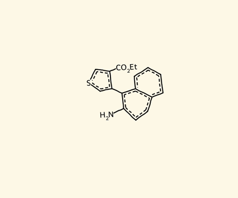 CCOC(=O)c1cscc1-c1c(N)ccc2ccccc12